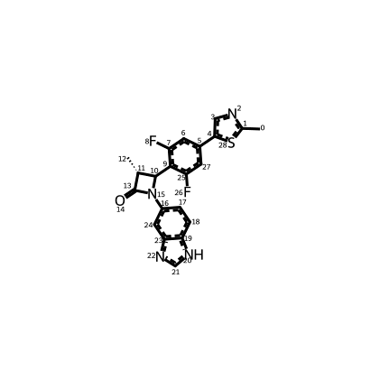 Cc1ncc(-c2cc(F)c(C3[C@@H](C)C(=O)N3c3ccc4[nH]cnc4c3)c(F)c2)s1